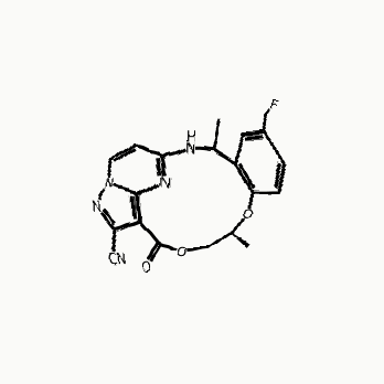 CC1Nc2ccn3nc(C#N)c(c3n2)C(=O)OC[C@H](C)Oc2ccc(F)cc21